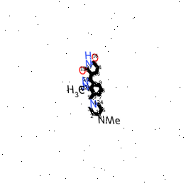 CNC1CCN(Cc2cccc3c(C4CCC(=O)NC4=O)nn(C)c23)CC1